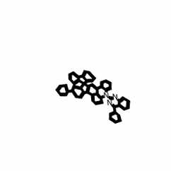 c1ccc(-c2ccc3c(c2)C2(c4ccccc4-c4ccccc42)c2cc4c5c(cccc5c2-3)N(c2nc(-c3ccccc3)c3ccccc3n2)c2ccccc2-4)cc1